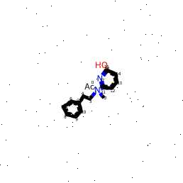 CC(=O)[N+](C)(CCc1ccccc1)c1cccc(O)n1